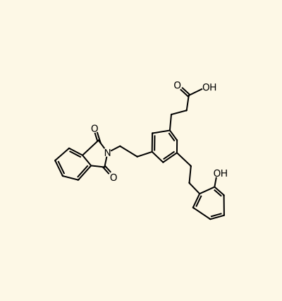 O=C(O)CCc1cc(CCc2ccccc2O)cc(CCN2C(=O)c3ccccc3C2=O)c1